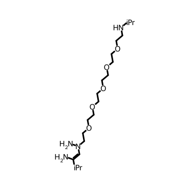 CC(C)NCCOCCOCCOCCOCCOCCN(N)/C=C(\N)C(C)C